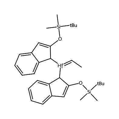 C[CH]=[Hf]([CH]1C(O[Si](C)(C)C(C)(C)C)=Cc2ccccc21)[CH]1C(O[Si](C)(C)C(C)(C)C)=Cc2ccccc21